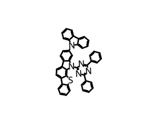 c1ccc(-c2nc(-c3ccccc3)nc(-n3c4cc(-n5c6ccccc6c6ccccc65)ccc4c4ccc5c6ccccc6sc5c43)n2)cc1